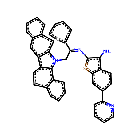 Nc1c(/N=C(\Cn2c3cc4ccccc4cc3c3ccc4ccccc4c32)c2ccccc2)sc2cc(-c3ccccn3)ccc12